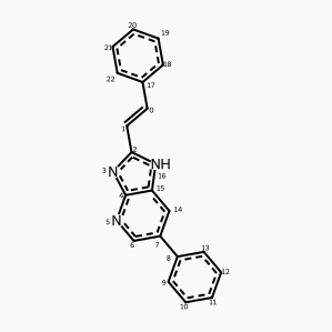 C(=Cc1nc2ncc(-c3ccccc3)cc2[nH]1)c1ccccc1